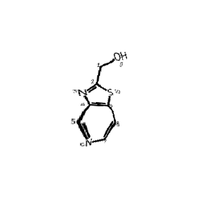 OCc1nc2cnccc2s1